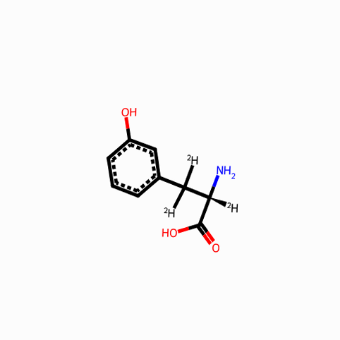 [2H]C([2H])(c1cccc(O)c1)[C@]([2H])(N)C(=O)O